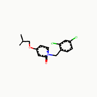 CC(C)COc1ccn(Cc2ccc(Cl)cc2Cl)c(=O)c1